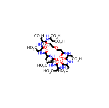 COCCOCCC(=O)NC(CC(=O)O)C(=O)NC(CC(=O)O)C(=O)NC(CC(=O)O)C(=O)NC(CC(=O)O)C(=O)NC(CC(=O)O)C(=O)NC(CC(=O)O)C(=O)NC(CC(=O)O)C(=O)NC(CC(=O)O)C(=O)O